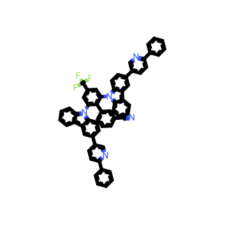 N#Cc1cccc(-c2c(-n3c4ccccc4c4cc(-c5ccc(-c6ccccc6)nc5)ccc43)cc(C(F)(F)F)cc2-n2c3ccccc3c3cc(-c4ccc(-c5ccccc5)nc4)ccc32)c1